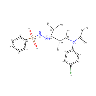 C=C(CC)N(c1ccc(F)cc1)C(C)[C@H](C)[C@H](NNS(=O)(=O)c1ccccc1)C(C)C